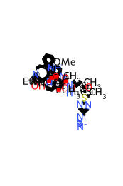 CC[C@]1(O)C[C@@H]2C[N@@](CCc3c([nH]c4ccccc34)[C@@](C(=O)OC)(c3cc(OC)cc4c3[C@@]35CCN6CC=C[C@@](CC)(C[C@](O)(C(=O)NCCC[Si](C)(C)O[Si](C)(C)CSc7ncc(CN=[N+]=[N-])cn7)[C@@H]3N4C)[C@H]65)C2)C1